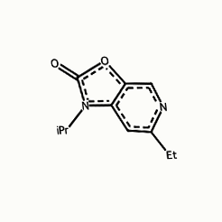 CCc1cc2c(cn1)oc(=O)n2C(C)C